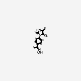 CC(=NO)c1ccc(N2C(=O)NC(C)C2=O)cc1